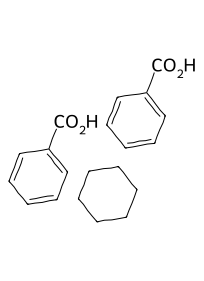 C1CCCCC1.O=C(O)c1ccccc1.O=C(O)c1ccccc1